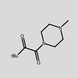 CN1CCN(C(=O)C(=O)C(C)(C)C)CC1